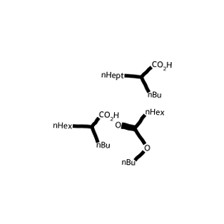 CCCCCCC(=O)OCCCC.CCCCCCC(CCCC)C(=O)O.CCCCCCCC(CCCC)C(=O)O